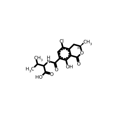 CC(C)C(NC(=O)c1cc(Cl)c2c(c1O)C(=O)O[C@H](C)C2)C(=O)O